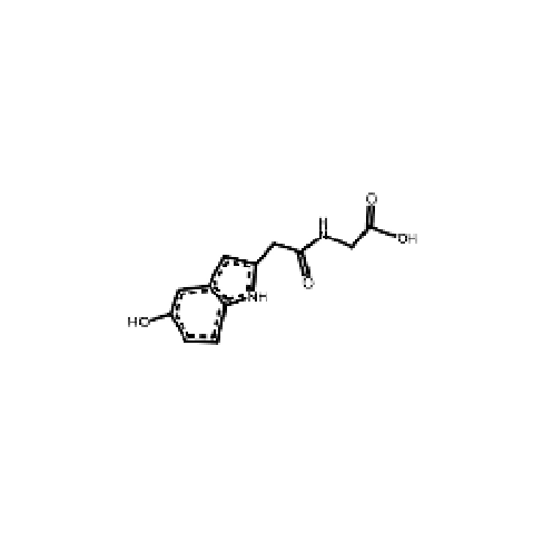 O=C(O)CNC(=O)Cc1cc2cc(O)ccc2[nH]1